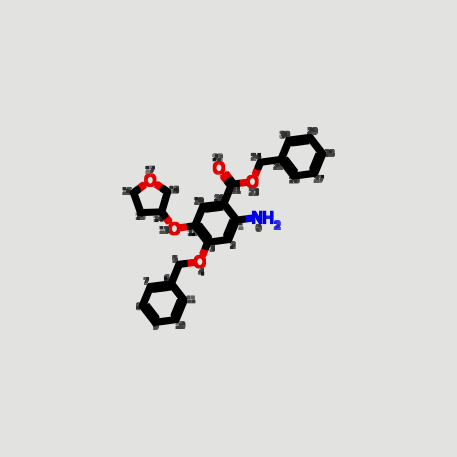 Nc1cc(OCc2ccccc2)c(OC2CCOC2)cc1C(=O)OCc1ccccc1